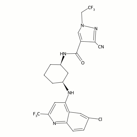 N#Cc1nn(CC(F)(F)F)cc1C(=O)N[C@@H]1CCC[C@H](Nc2cc(C(F)(F)F)nc3ccc(Cl)cc23)C1